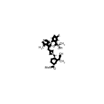 C#CC(=C)C1C[C@H](C(=O)NC)CC[C@H]1CN1CC(Cc2cn(-c3ccc(F)cc3C(=O)N(C)C(C)C)c3cncc(C)c23)C1